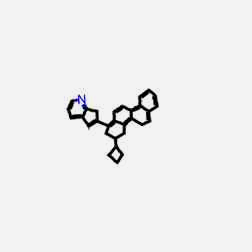 [C]1=C(C2=c3ccc4c(c3CC(C3CCC3)C2)CC=c2ccccc2=4)Cc2ncccc21